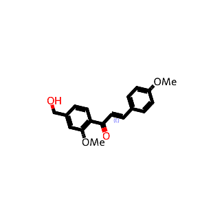 COc1ccc(/C=C/C(=O)c2ccc(CO)cc2OC)cc1